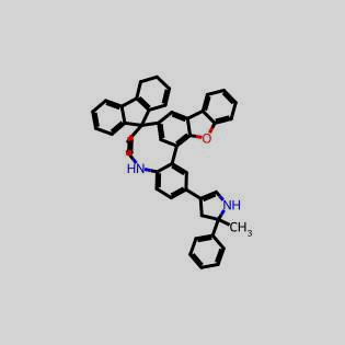 CC1(c2ccccc2)CC(c2ccc3c(c2)-c2cc(cc4c2oc2ccccc24)C2(C4=C(CCC=C4)c4ccccc42)c2ccccc2N3)=CN1